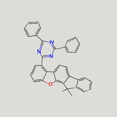 CC1(C)c2ccccc2-c2ccc3c(oc4cccc(-c5nc(-c6ccccc6)nc(-c6ccccc6)n5)c43)c21